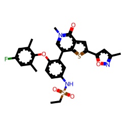 CCS(=O)(=O)Nc1ccc(Oc2c(C)cc(F)cc2C)c(-c2cn(C)c(=O)c3cc(-c4cc(C)no4)sc23)c1